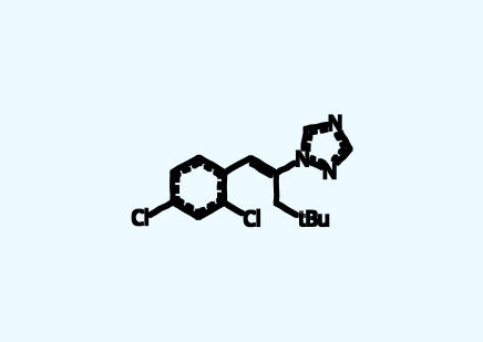 CC(C)(C)CC(=Cc1ccc(Cl)cc1Cl)n1cncn1